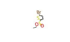 CCO[S@@](=O)c1ccc(Br)s1